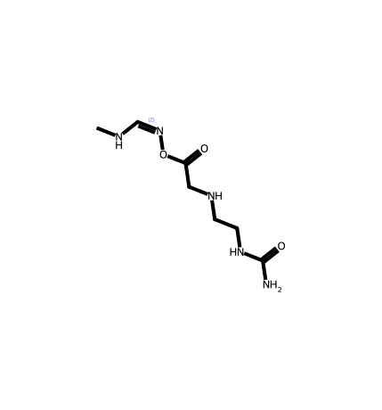 CN/C=N\OC(=O)CNCCNC(N)=O